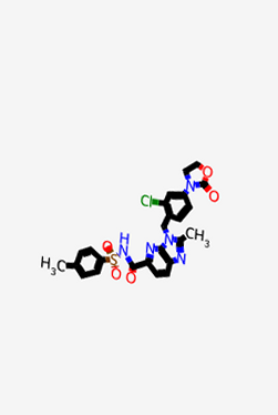 Cc1ccc(S(=O)(=O)NC(=O)c2ccc3nc(C)n(Cc4ccc(N5CCOC5=O)cc4Cl)c3n2)cc1